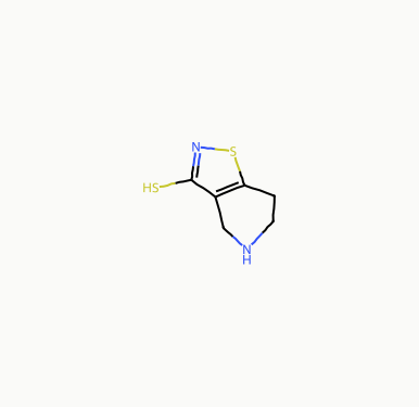 Sc1nsc2c1CNCC2